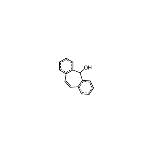 OC1c2ccccc2C=Cc2ccccc21